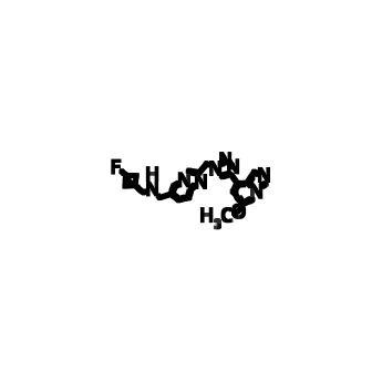 COc1cc(-c2cn(Cc3cn4cc(CNCC56CC(F)(C5)C6)ccc4n3)nn2)c2cncn2c1